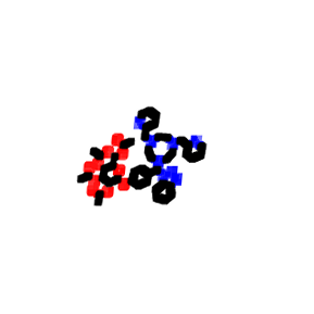 CC(=O)OC[C@H]1O[C@@H](Oc2ccc(C(N3CCN(Cc4ccccn4)CCN(Cc4ccccn4)CC3)n3nnc4ccccc43)cc2)[C@H](OC(C)=O)[C@@H](OC(C)=O)[C@H]1OC(C)=O